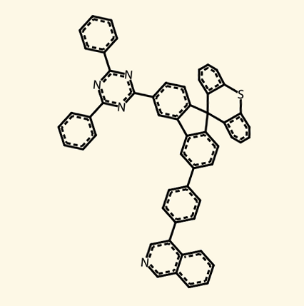 c1ccc(-c2nc(-c3ccccc3)nc(-c3ccc4c(c3)-c3cc(-c5ccc(-c6cncc7ccccc67)cc5)ccc3C43c4ccccc4Sc4ccccc43)n2)cc1